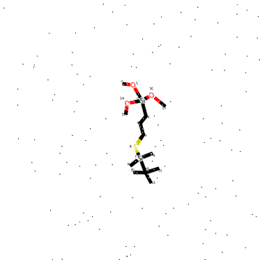 CO[Si](CCCS[Si](C)(C)C(C)(C)C)(OC)OC